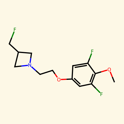 COc1c(F)cc(OCCN2CC(CF)C2)cc1F